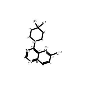 FC1(F)CCN(c2ncnc3ccc(Cl)nc23)CC1